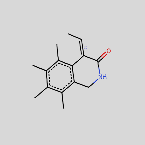 C/C=C1/C(=O)NCc2c(C)c(C)c(C)c(C)c21